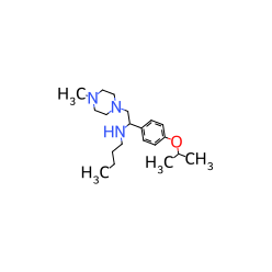 CCCCNC(CN1CCN(C)CC1)c1ccc(OC(C)C)cc1